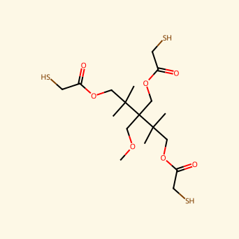 COCC(COC(=O)CS)(C(C)(C)COC(=O)CS)C(C)(C)COC(=O)CS